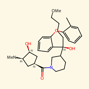 CN[C@@H]1C[C@H](C(=O)N2CCCC([C@@](O)(CCCCOC)c3ccccc3Oc3ccccc3C)C2)C[C@@H]1O